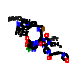 CCn1c(-c2cccnc2[C@H](C)OC)c2c3cc(ccc31)-c1csc(n1)C[C@H](NC(=O)[C@H](C(C)C)N(C)C(=O)[C@H]1CCN(C(=O)C#CCN3CCOCC3)C1)C(=O)N1CCC(F)(F)[C@H](N1)C(=O)OCC(C)(C)C2